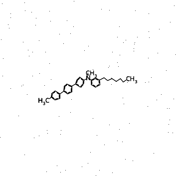 CCCCCCCc1cccc(N(C)c2ccc(-c3ccc(-c4ccc(C)cc4)cc3)cc2)c1